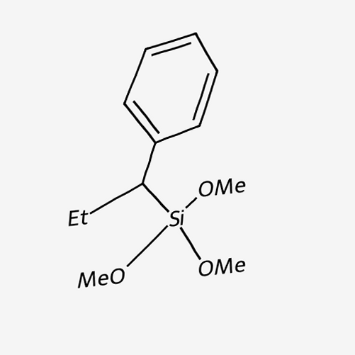 CCC(c1ccccc1)[Si](OC)(OC)OC